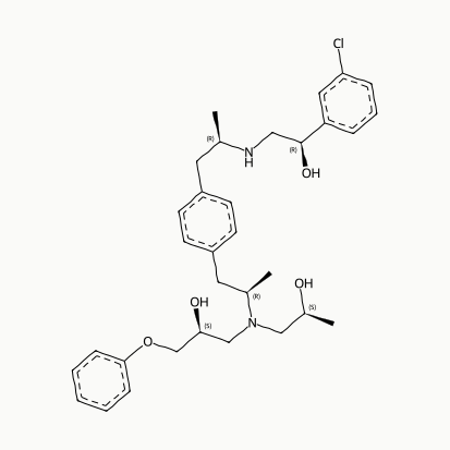 C[C@H](O)CN(C[C@H](O)COc1ccccc1)[C@H](C)Cc1ccc(C[C@@H](C)NC[C@H](O)c2cccc(Cl)c2)cc1